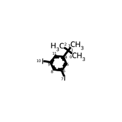 CC(C)(C)c1cc(I)cc(I)c1